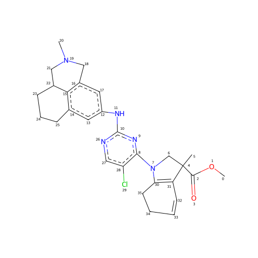 COC(=O)C1(C)CN(c2nc(Nc3cc4c5c(c3)CN(C)CC5CCC4)ncc2Cl)C2=C1C=CCC2